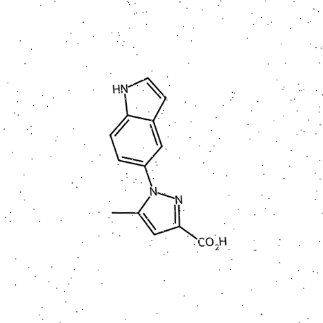 Cc1cc(C(=O)O)nn1-c1ccc2[nH]ccc2c1